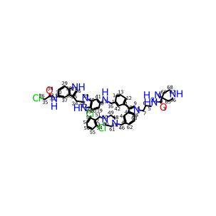 NC1(C(=O)NCCCn2cc(-c3cccc(CNc4ccc5[nH]c(Cc6c[nH]c7ccc(NC(=O)CCl)cc67)nc5c4)c3)c3cc(CN4CCN(Cc5c(Cl)cccc5Cl)CC4)ccc32)CCNCC1